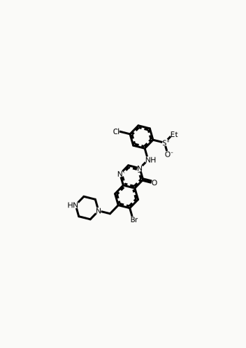 CC[S+]([O-])c1ccc(Cl)cc1Nn1cnc2cc(CN3CCNCC3)c(Br)cc2c1=O